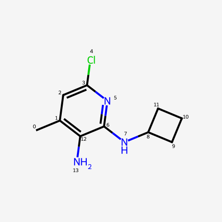 Cc1cc(Cl)nc(NC2CCC2)c1N